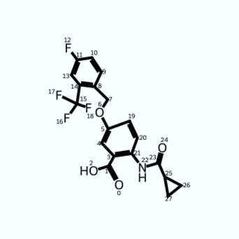 O=C(O)c1cc(OCc2ccc(F)cc2C(F)(F)F)ccc1NC(=O)C1CC1